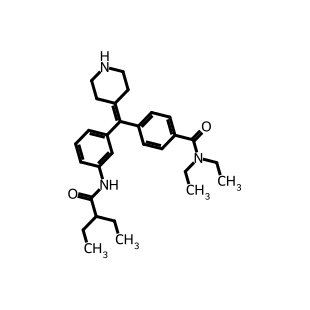 CCC(CC)C(=O)Nc1cccc(C(=C2CCNCC2)c2ccc(C(=O)N(CC)CC)cc2)c1